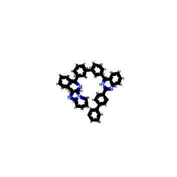 c1ccc(-c2ccc(-c3nc(-c4cccc(-c5cccc(-c6nc7c(nc8ccccn87)c7ccccc67)c5)c4)c4ccccc4n3)cc2)cc1